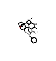 CC1=C(C(=O)O)C(CCSc2ccccc2)(c2ccccc2[N+](=O)[O-])c2c(C3CCCC3)nn(C)c2N1